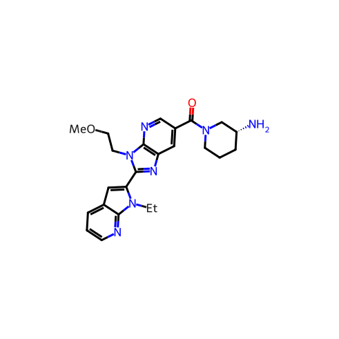 CCn1c(-c2nc3cc(C(=O)N4CCC[C@@H](N)C4)cnc3n2CCOC)cc2cccnc21